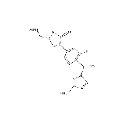 CC(=O)NC[C@H]1CN(c2ccc(C(=O)n3ccc(C(=O)O)n3)c(F)c2)C(=O)O1